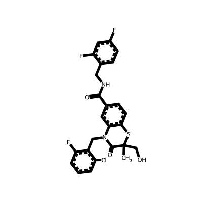 CC1(CO)Sc2ccc(C(=O)NCc3ccc(F)cc3F)cc2N(Cc2c(F)cccc2Cl)C1=O